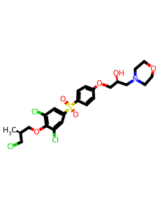 C[C@H](CCl)COc1c(Cl)cc(S(=O)(=O)c2ccc(OC[C@@H](O)CN3CCOCC3)cc2)cc1Cl